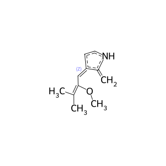 C=c1[nH]cc/c1=C/C(OC)=C(C)C